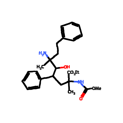 CCOC(=O)C(C)(CC(c1ccccc1)C(O)C(C)(N)CCc1ccccc1)NC(=O)OC